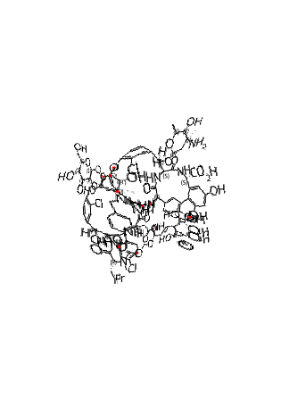 CC(C)C[C@H](C(=O)N[C@H]1C(=O)N[C@@H](CC(N)=O)C(=O)N[C@H]2C(=O)N[C@H]3C(=O)N[C@H](C(=O)N[C@H](C(=O)O)c4cc(O)cc(O)c4-c4cc3ccc4O)[C@H](O[C@H]3C[C@](C)(N)[C@@H](O)[C@H](C)O3)c3ccc(c(Cl)c3)Oc3cc2cc(c3O[C@@H]2O[C@H](CO)[C@@H](O)[C@H](O)[C@H]2O[C@H]2C[C@](C)(NCc3ccc(-c4ccc(Cl)cc4)cc3)[C@@H](O)[C@H](C)O2)Oc2ccc(cc2Cl)[C@H]1O)N(C)C(=O)OCOC(=O)CCC(P(=O)(O)O)P(=O)(O)O